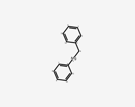 c1ccc([CH2][Mg][c]2ccccc2)cc1